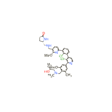 COc1cc(-c2nccc(-c3cccc(-c4ccc(CNC[C@@H]5CCC(=O)N5)c(OC)n4)c3Cl)c2Cl)cc(C)c1CN(C)CC(C)O